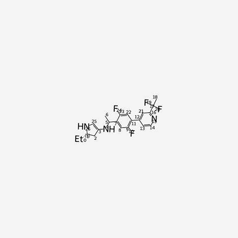 CC[C@H]1CC(NC(C)c2cc(F)c(-c3ccnc(C(C)(F)F)c3)cc2F)=CN1